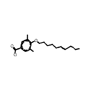 CCCCCCCCCCOc1c(C)cc(C(=O)Cl)cc1C